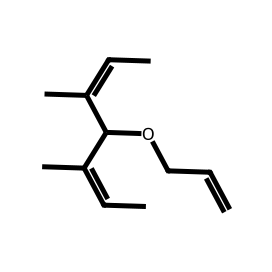 C=CCOC(/C(C)=C\C)/C(C)=C\C